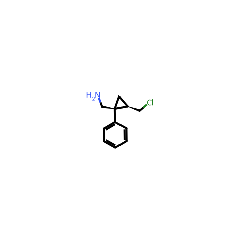 NC[C@@]1(c2ccccc2)C[C@H]1CCl